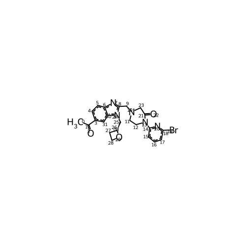 CC(=O)c1ccc2nc(CN3CCN(c4cccc(Br)n4)C(=O)C3)n(C[C@@H]3CCO3)c2c1